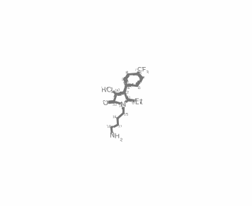 CCC1C(c2ccc(C(F)(F)F)cc2)=C(O)C(=O)N1CCCCN